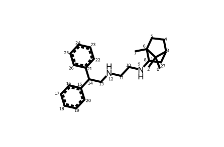 CC1(C)C2CCC1(C)C(NCCNCC(c1ccccc1)c1ccccc1)C2